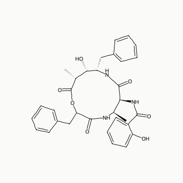 C[C@H]1NC(=O)C(Cc2ccccc2)OC(=O)[C@H](C)[C@H](O)[C@H](Cc2ccccc2)NC(=O)[C@H]1NC(=O)c1ccccc1O